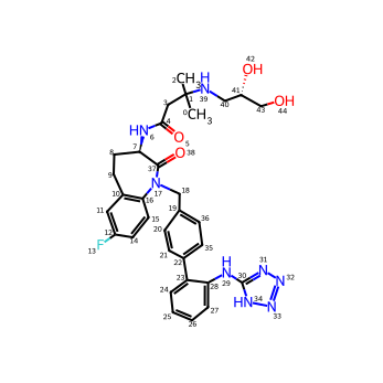 CC(C)(CC(=O)N[C@@H]1CCc2cc(F)ccc2N(Cc2ccc(-c3ccccc3Nc3nnn[nH]3)cc2)C1=O)NC[C@H](O)CO